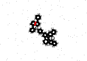 C1=CC2c3cc(-c4ccc(N(c5ccc(-c6ccccc6)cc5)c5ccccc5-c5ccccc5)cc4)ccc3C3(c4ccc5ccccc5c4Oc4c3ccc3ccccc43)C2C=C1